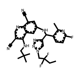 CCC(F)(F)Cn1cc(C(Nc2cc(C#N)c3ncc(C#N)c(NCC(C)(C)C)c3c2)c2ccc(F)nc2C)nn1